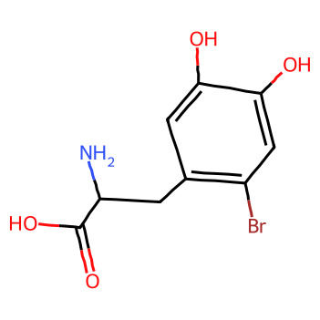 NC(Cc1cc(O)c(O)cc1Br)C(=O)O